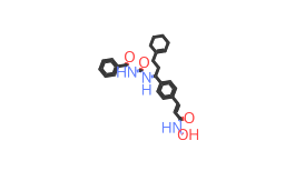 O=C(C=Cc1ccc(C(CCC2=CCCCC2)NC(=O)NC(=O)c2ccccc2)cc1)NO